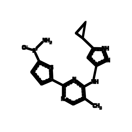 Cc1cnc(-c2ccc([S+](N)[O-])s2)nc1Nc1cc(C2CC2)[nH]n1